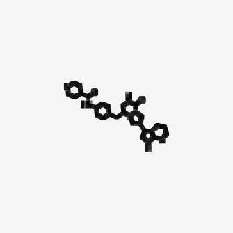 O=C(Nc1ccc(Cc2c[nH]c(=O)c3cc(-c4c[nH]c5ncccc45)cn23)cc1)c1ccncc1